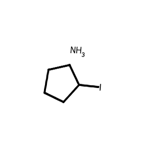 IC1CCCC1.N